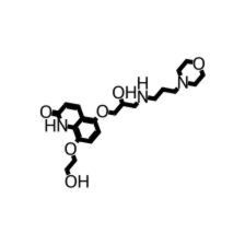 O=c1ccc2c(OCC(O)CNCCCN3CCOCC3)ccc(OCCO)c2[nH]1